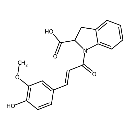 COc1cc(/C=C/C(=O)N2c3ccccc3CC2C(=O)O)ccc1O